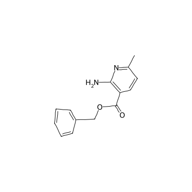 Cc1ccc(C(=O)OCc2ccccc2)c(N)n1